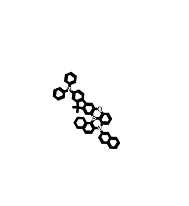 CC1(C)c2cc(N(c3ccccc3)c3ccccc3)ccc2-c2cc3c(cc21)B1c2c(cccc2N(c2ccc4ccccc4c2)c2ccc4c(c21)CCCC4)O3